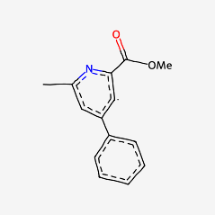 COC(=O)c1[c]c(-c2ccccc2)cc(C)n1